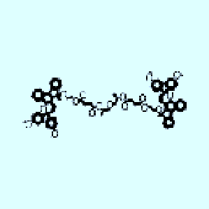 COc1ccc(C2(c3ccc(OC)cc3)C=Cc3c4c(c5ccccc5c3O2)-c2ccccc2C4(C)OCCOC(=O)CCC(=O)OC(C)COCC(C)OC(=O)CCC(=O)OCCOC2(C)c3ccccc3-c3c2c2c(c4ccccc34)OC(c3ccc(OC)cc3)(c3ccc(OC)cc3)C=C2)cc1